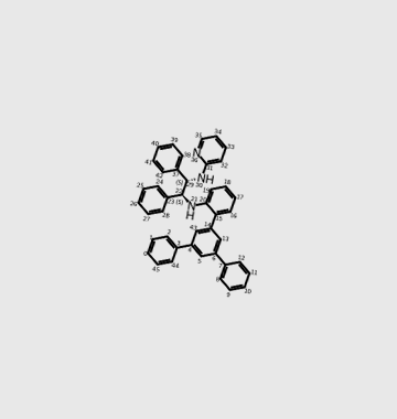 c1ccc(-c2cc(-c3ccccc3)cc(-c3ccccc3N[C@@H](c3ccccc3)[C@@H](Nc3ccccn3)c3ccccc3)c2)cc1